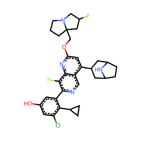 Oc1cc(Cl)c(C2CC2)c(-c2ncc3c(C4CC5CCC(C4)N5)cc(OCC45CCCN4CC(F)C5)nc3c2F)c1